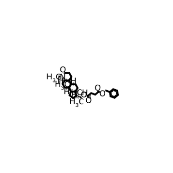 CC(OC(=O)CCC(=O)OCc1ccccc1)[C@H]1CC[C@H]2[C@@H]3CC[C@H]4N(C)C(=O)CC[C@]4(C)[C@H]3CC[C@]12C